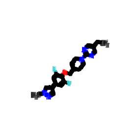 CCc1cnc(N2CCC(COc3c(F)cc(-c4cnn(C)c4)cc3F)CC2)nc1